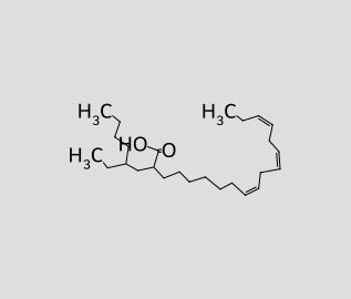 CC/C=C\C/C=C\C/C=C\CCCCCCC(CC(CC)CCCC)C(=O)O